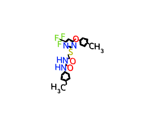 CCc1ccc(NC(=O)NC(=O)CSc2nc(Oc3ccc(C)cc3)cc(C(F)(F)F)n2)cc1